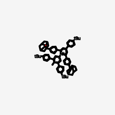 Cc1c(-c2ccc(C(C)(C)C)cc2)cc(-[n+]2c(-c3ccc(C45CC6CC(CC(C6)C4)C5)cc3)cc(-c3ccc(C(C)(C)C)cc3)cc2-c2ccc(C34CC5CC(CC(C5)C3)C4)cc2)cc1-c1ccc(C(C)(C)C)cc1